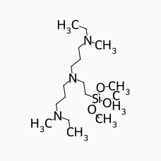 CCN(C)CCCN(CCCN(C)CC)CC[Si](OC)(OC)OC